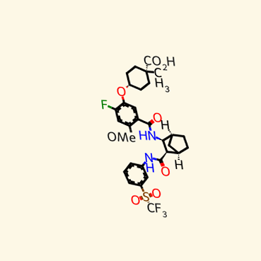 COc1cc(F)c(O[C@H]2CC[C@@](C)(C(=O)O)CC2)cc1C(=O)N[C@H]1[C@H]2CC[C@H](C2)[C@H]1C(=O)Nc1cccc(S(=O)(=O)C(F)(F)F)c1